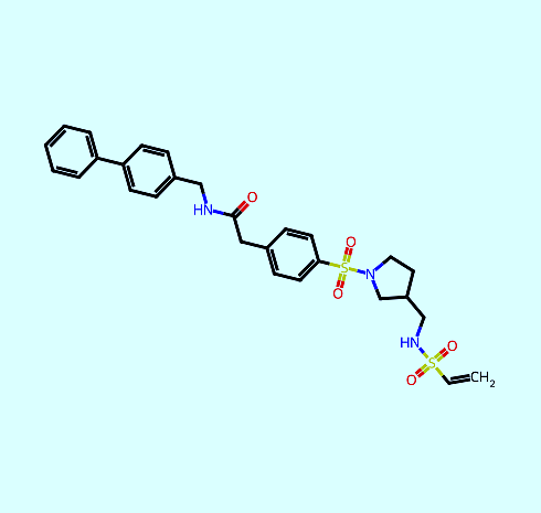 C=CS(=O)(=O)NCC1CCN(S(=O)(=O)c2ccc(CC(=O)NCc3ccc(-c4ccccc4)cc3)cc2)C1